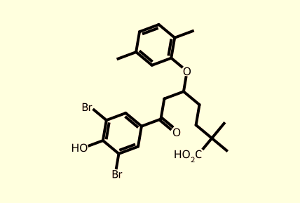 Cc1ccc(C)c(OC(CCC(C)(C)C(=O)O)CC(=O)c2cc(Br)c(O)c(Br)c2)c1